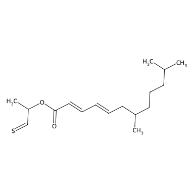 CC(C)CCCC(C)CC=CC=CC(=O)OC(C)C=S